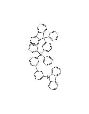 c1ccc(C2(c3cccc([Si](c4ccccc4)(c4ccccc4)c4cccc(-c5cccc(-n6c7ccccc7c7ccccc76)c5)c4)c3)c3ccccc3-c3ccccc32)cc1